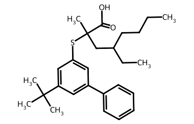 CCCCC(CC)CC(C)(Sc1cc(-c2ccccc2)cc(C(C)(C)C)c1)C(=O)O